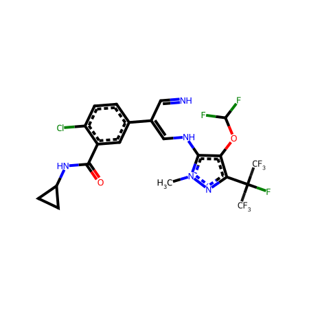 Cn1nc(C(F)(C(F)(F)F)C(F)(F)F)c(OC(F)F)c1N/C=C(\C=N)c1ccc(Cl)c(C(=O)NC2CC2)c1